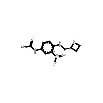 O=C(O)Nc1ccc(NC[C@@H]2CCO2)c([N+](=O)[O-])c1